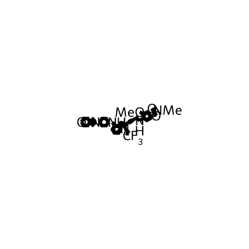 CNS(=O)(=O)c1ccc(NCC#Cc2cc3c(NC4CCC(N5CC6(CCOCC6)C5)CC4)cccc3n2CC(F)(F)F)c(OC)c1